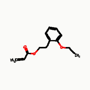 C=CC(=O)OCCc1ccccc1OCC